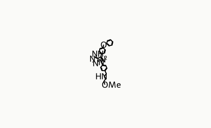 COCCNCc1ccc(-n2nc(-c3ccc(Oc4ccccc4)cc3)c3c(N)ncnc32)cc1